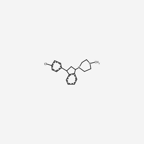 CN1CCN(C2CC(c3ccc(Cl)cc3)c3ccccc32)CC1